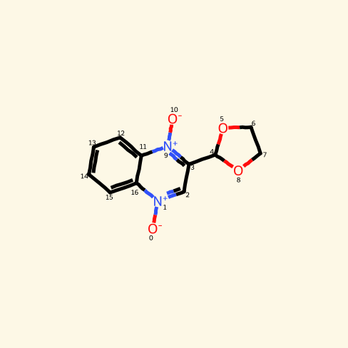 [O-][n+]1cc(C2OCCO2)[n+]([O-])c2ccccc21